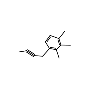 [CH2]C#CCc1ccc(C)c(C)c1C